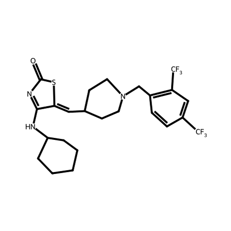 O=C1N=C(NC2CCCCC2)C(=CC2CCN(Cc3ccc(C(F)(F)F)cc3C(F)(F)F)CC2)S1